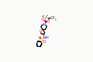 O=C(OC(C(F)(F)F)C(F)(F)F)N1CCC2(CC1)C[C@H](NS(=O)(=O)c1ccccc1)CO2